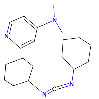 C(=NC1CCCCC1)=NC1CCCCC1.CN(C)c1ccncc1